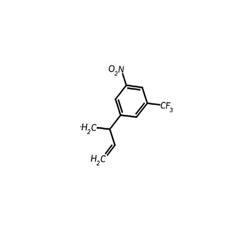 [CH2]C(C=C)c1cc([N+](=O)[O-])cc(C(F)(F)F)c1